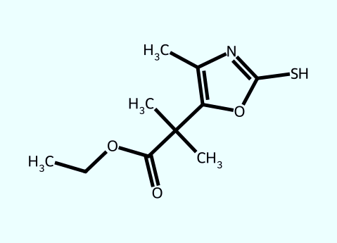 CCOC(=O)C(C)(C)c1oc(S)nc1C